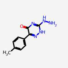 Cc1ccc(-c2n[nH]c(NN)nc2=O)cc1